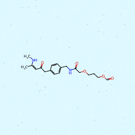 CN/C(C)=C\C(=O)Cc1ccc(CNC(=O)COCCCOC=O)cc1